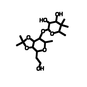 CC1OC(CCO)C2OC(C)(C)OC2C1OC1OC(C)C(C)(C)C(O)C1O